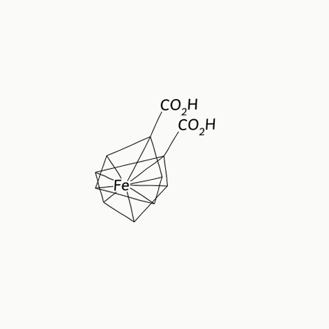 O=C(O)[C]12[CH]3[CH]4[CH]5[CH]1[Fe]45321678[CH]2[CH]1[CH]6[C]7(C(=O)O)[CH]28